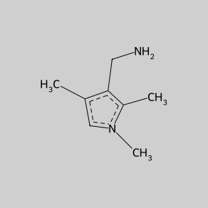 Cc1cn(C)c(C)c1CN